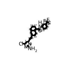 Nc1nc(Cl)cc(C#Cc2ccc3c(C(=O)Nc4cccc(C(F)(F)F)c4)cccc3c2)n1